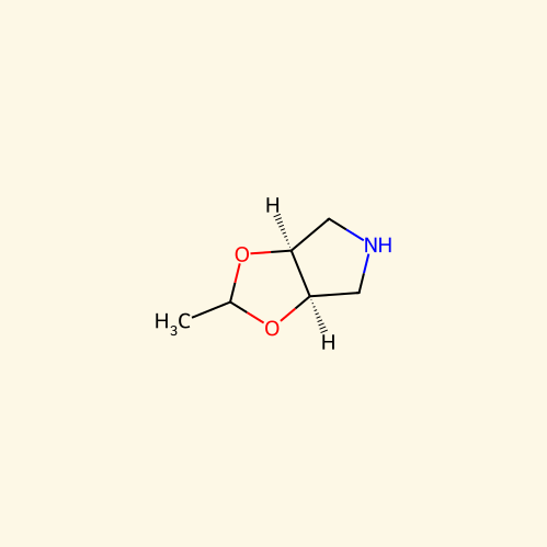 CC1O[C@H]2CNC[C@H]2O1